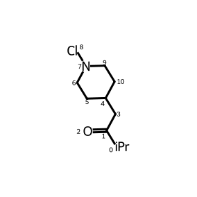 CC(C)C(=O)CC1CCN(Cl)CC1